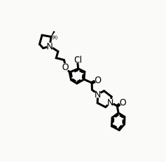 C[C@@H]1CCCN1CCCOc1ccc(C(=O)CN2CCN(C(=O)c3ccccc3)CC2)cc1Cl